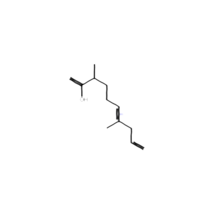 C=CC/C(C)=C/CCC(C)C(=C)O